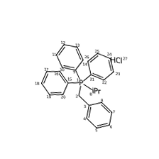 CC(C)P(Cc1ccccc1)(c1ccccc1)(c1ccccc1)c1ccccc1.Cl